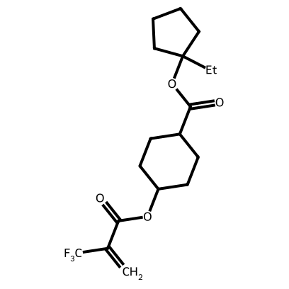 C=C(C(=O)OC1CCC(C(=O)OC2(CC)CCCC2)CC1)C(F)(F)F